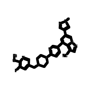 CCOc1ncc(CN2CCN(c3ccc(-c4cc(-c5cnn(C)c5)cn5ncc(C#N)c45)cn3)CC2)cc1F